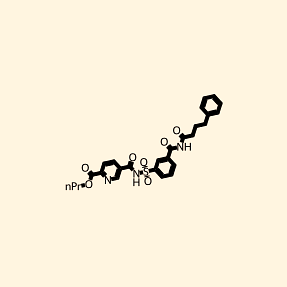 CCCOC(=O)c1ccc(C(=O)NS(=O)(=O)c2cccc(C(=O)NC(=O)CCCc3ccccc3)c2)cn1